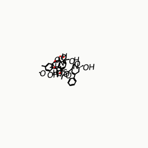 COc1c(C)cc2c(c1O)[C@H]1[C@@H]3[C@@H]4SC[C@]5(N[C@@H](CO)Cc6c5oc5ccccc65)C(=O)OC[C@@H](c5c6c(c(C)c(OC(C)=O)c54)OCO6)N3C(C)(C2)CN1C